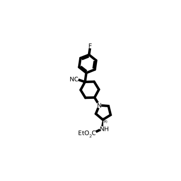 CCOC(=O)N[C@@H]1CCN(C2CCC(C#N)(c3ccc(F)cc3)CC2)C1